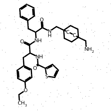 CCOc1ccc(CC(NC(=O)c2cccs2)C(=O)NC(Cc2ccccc2)C(=O)NCC23CCC(CN)(CC2)CC3)cc1